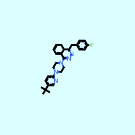 CC(C)(C)c1ccc(N2CCN(C3=NN=C(Cc4ccc(F)cc4)C4CC=CC=C34)CC2)nc1